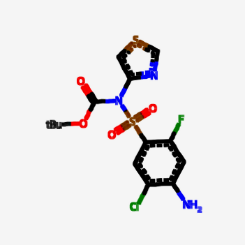 CC(C)(C)OC(=O)N(c1cscn1)S(=O)(=O)c1cc(Cl)c(N)cc1F